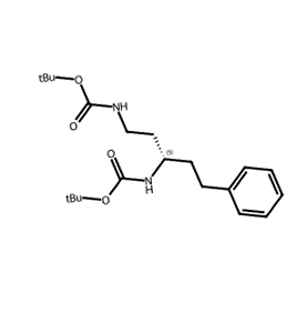 CC(C)(C)OC(=O)NCC[C@H](CCc1ccccc1)NC(=O)OC(C)(C)C